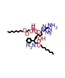 CCCCCCCCOC(=O)CO[PH](=O)OC[C@@]1(C#CC(c2ccccc2)[C@H](N)C(=O)OCCCCCCCC)O[C@@H](n2cnc3c(N)nc(F)nc32)C[C@@H]1O